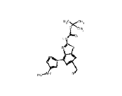 CC(C)(C)OC(=O)Nc1nc2c(-c3cccc(NO)c3)cc(CBr)cc2s1